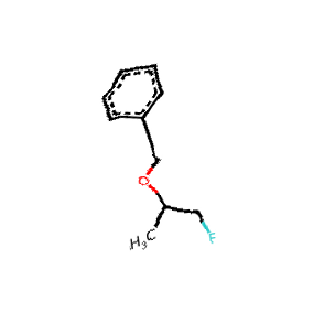 CC(CF)OCc1ccccc1